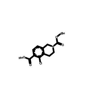 COC(=O)c1ccc2c(c1Cl)CCN(C(=O)OC(C)(C)C)C2